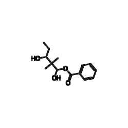 CCC(O)C(C)(C)C(O)OC(=O)c1ccccc1